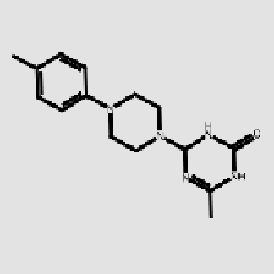 CC1=NC(N2CCN(c3ccc(C)cc3)CC2)NC(=O)N1